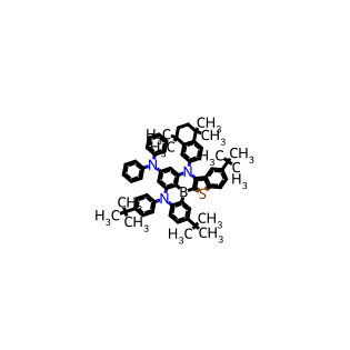 CC(C)(C)c1ccc(N2c3ccc(C(C)(C)C)cc3B3c4sc5ccc(C(C)(C)C)cc5c4N(c4ccc5c(c4)C(C)(C)CCC5(C)C)c4cc(N(c5ccccc5)c5ccccc5)cc2c43)cc1